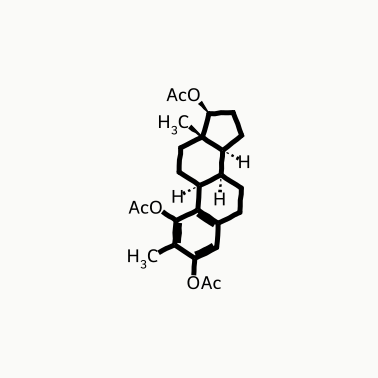 CC(=O)Oc1cc2c(c(OC(C)=O)c1C)[C@H]1CC[C@]3(C)[C@@H](OC(C)=O)CC[C@H]3[C@H]1CC2